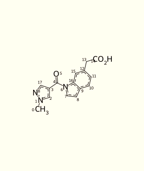 Cn1cc(C(=O)n2ccc3ccc(CC(=O)O)cc32)cn1